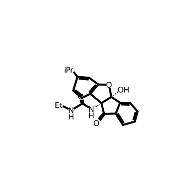 CCNC(=O)N[C@@]12C(=O)c3ccccc3[C@]1(O)Oc1cc(C(C)C)ccc12